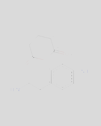 N.NCCc1ccccc1.O=C1CCCC(=O)O1